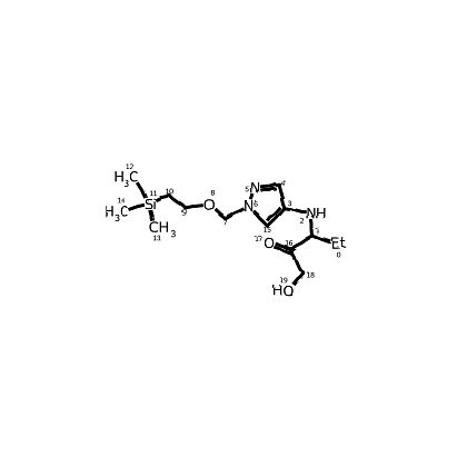 CCC(Nc1cnn(COCC[Si](C)(C)C)c1)C(=O)CO